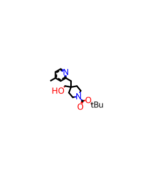 Cc1ccnc(CC2(CO)CCN(C(=O)OC(C)(C)C)CC2)c1